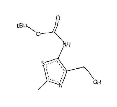 Cc1nc(CO)c(NC(=O)OC(C)(C)C)s1